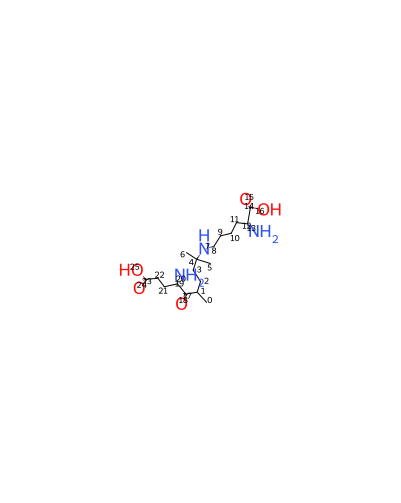 CC(CCC(C)(C)NCCCC[C@H](N)C(=O)O)C(=O)C(N)CCC(=O)O